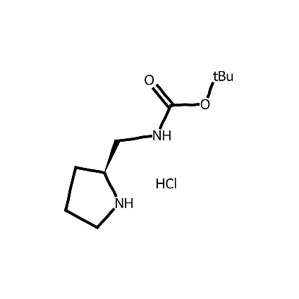 CC(C)(C)OC(=O)NC[C@@H]1CCCN1.Cl